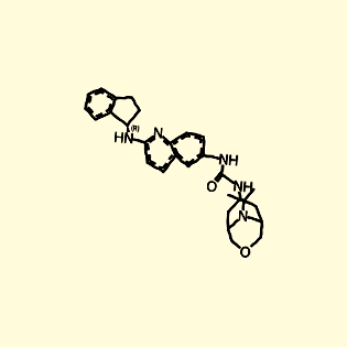 CC(C)N1C2COCC1CC(NC(=O)Nc1ccc3nc(N[C@@H]4CCc5ccccc54)ccc3c1)C2